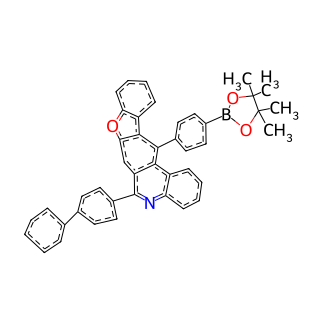 CC1(C)OB(c2ccc(-c3c4c(cc5c(-c6ccc(-c7ccccc7)cc6)nc6ccccc6c35)oc3ccccc34)cc2)OC1(C)C